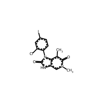 Cc1c(=O)n(C)cc2[nH]c(=O)n(-c3ccc(I)cc3Cl)c12